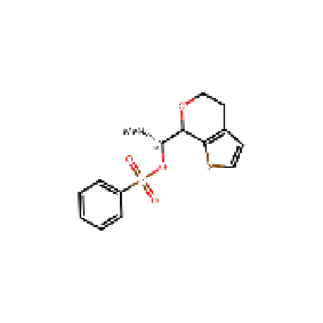 CN[C@@H](OS(=O)(=O)c1ccccc1)C1OCCc2ccsc21